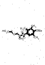 COc1c(C)cc(S(=O)(=O)N(C)COCC(=O)O)c(C)c1C